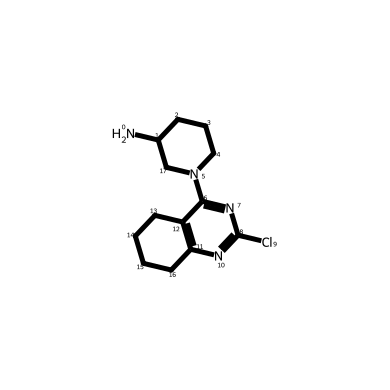 NC1CCCN(c2nc(Cl)nc3c2CCCC3)C1